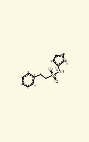 O=S(=O)(CCc1ccccc1)Nc1ccc[nH]1